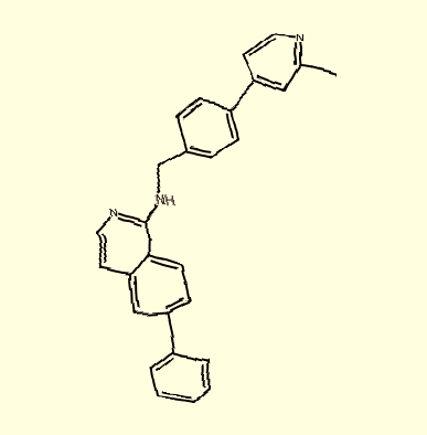 Cc1cc(-c2ccc(CNc3nccc4cc(-c5ccccc5)ccc34)cc2)ccn1